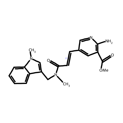 COC(=O)c1cc(/C=C/C(=O)N(C)Cc2cn(C)c3ccccc23)cnc1N